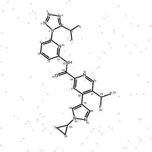 CC(C)c1nnnn1-c1cccc(NC(=O)c2cc(-c3cnn(C4CC4)c3)c(C(F)F)cn2)n1